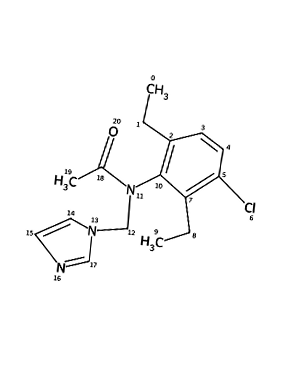 CCc1ccc(Cl)c(CC)c1N(Cn1ccnc1)C(C)=O